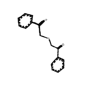 O=C(CSCC(=O)c1ccccc1)c1ccccc1